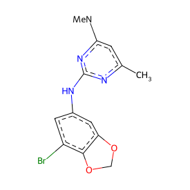 CNc1cc(C)nc(Nc2cc(Br)c3c(c2)OCO3)n1